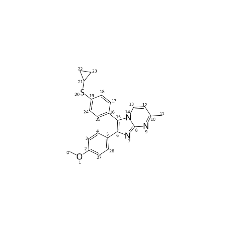 COc1ccc(-c2nc3nc(C)ccn3c2-c2ccc(SC3CC3)cc2)cc1